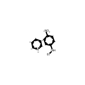 CCNc1ccc([N+](=O)[O-])cc1.c1ccncc1